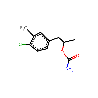 CC(Cc1ccc(Cl)c(C(F)(F)F)c1)OC(N)=O